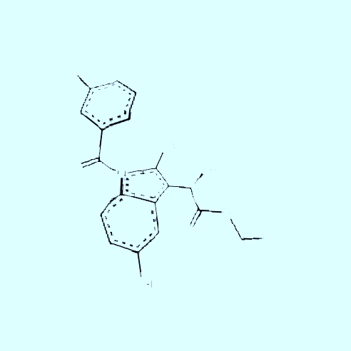 CCOC(=O)[C@H](C)c1c(C)n(C(=O)c2cccc(F)c2)c2ccc(O)cc12